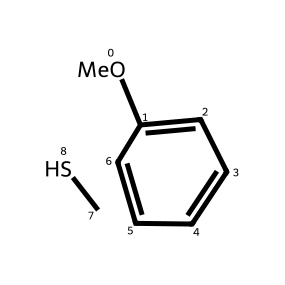 COc1ccccc1.CS